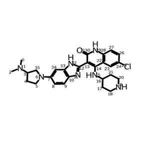 CN(C)C1CCN(c2ccc3nc(-c4c(NC5CCNCC5)c5cc(Cl)ccc5[nH]c4=O)[nH]c3c2)C1